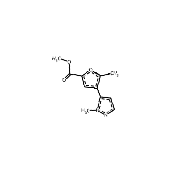 COC(=O)c1cc(-c2ccnn2C)c(C)o1